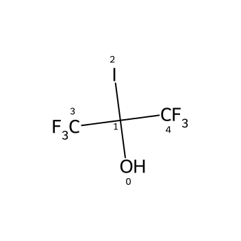 OC(I)(C(F)(F)F)C(F)(F)F